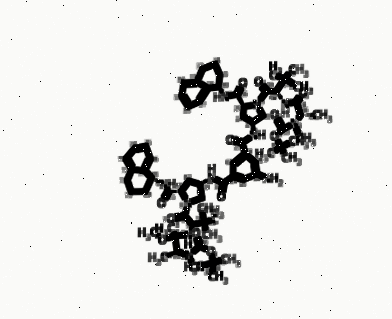 COC(C)(N[C@H](C(=O)N1C[C@@H](NC(=O)c2cc(N)cc(C(=O)N[C@H]3C[C@@H](C(=O)N[C@@H]4CCCc5ccccc54)N(C(=O)[C@@H](NC(=O)[C@H](C)N(C)C(=O)OC(C)(C)C)C(C)(C)C)C3)c2)C[C@H]1C(=O)N[C@@H]1CCCc2ccccc21)C(C)(C)C)[C@H](C)N(C)C(=O)OC(C)(C)C